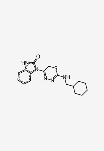 O=c1[nH]c2ccccc2n1C1=NN=C(NCC2CCCCC2)SC1